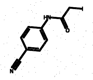 N#Cc1ccc(NC(=O)CI)cc1